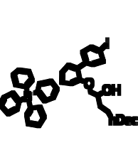 CCCCCCCCCCCCC(O)COc1ccccc1-c1ccc(I)cc1.c1ccc([B-](c2ccccc2)(c2ccccc2)c2ccccc2)cc1